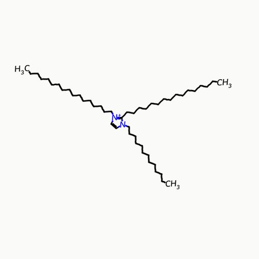 CCCCCCCCCCCCCCCCC[n+]1ccn(CCCCCCCCCCCCC)c1CCCCCCCCCCCCCCCC